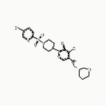 O=c1c(Cl)c(NC[C@H]2CCCOC2)cnn1C1CCN(S(=O)(=O)c2ccc(Br)cn2)CC1